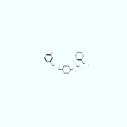 Cc1cc(CNCC2CCC(Nc3nc4c(c(N(C)C)n3)CCCC4)CC2)ccc1O